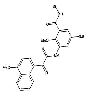 CCNC(=O)c1cc(C(C)(C)C)cc(NC(=O)C(=O)c2ccc(OC)c3ccccc23)c1OC